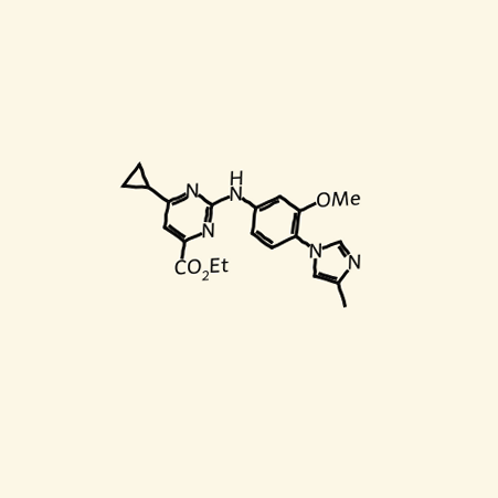 CCOC(=O)c1cc(C2CC2)nc(Nc2ccc(-n3cnc(C)c3)c(OC)c2)n1